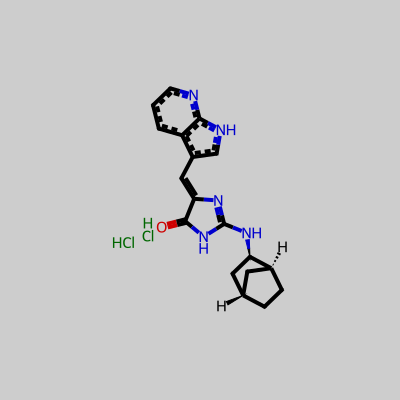 Cl.Cl.O=C1NC(N[C@@H]2C[C@H]3CC[C@H]2C3)=NC1=Cc1c[nH]c2ncccc12